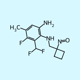 Cc1cc(N)c(NCC2(N=O)CCC2)c(C(F)F)c1F